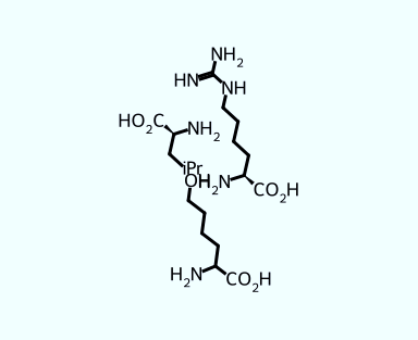 CC(C)C[C@H](N)C(=O)O.N=C(N)NCCCC[C@H](N)C(=O)O.NC(CCCCO)C(=O)O